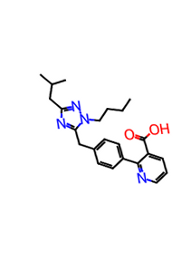 CCCCn1nc(CC(C)C)nc1Cc1ccc(-c2ncccc2C(=O)O)cc1